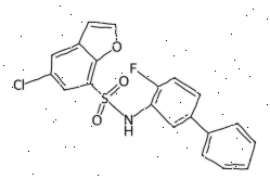 O=S(=O)(Nc1cc(-c2ccccc2)ccc1F)c1cc(Cl)cc2ccoc12